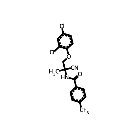 CC(C#N)(COc1ccc(Cl)cc1Cl)NC(=O)c1ccc(C(F)(F)F)cc1